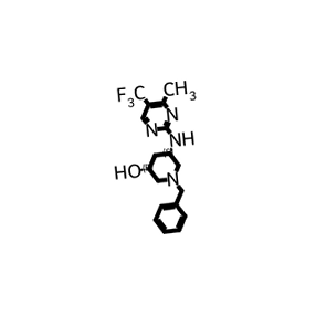 Cc1nc(N[C@H]2C[C@@H](O)CN(Cc3ccccc3)C2)ncc1C(F)(F)F